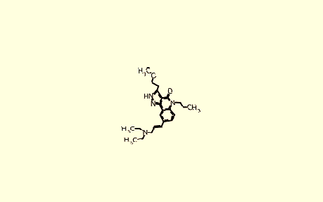 CCCn1c(=O)c2c(CCOC)[nH]nc2c2cc(C=CCN(CC)CC)ccc21